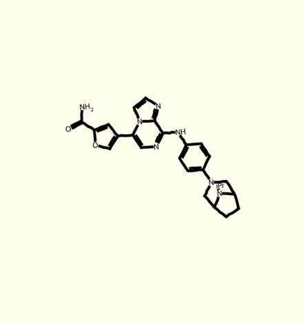 CC(C)N1C2CCC1CN(c1ccc(Nc3ncc(-c4coc(C(N)=O)c4)n4ccnc34)cc1)C2